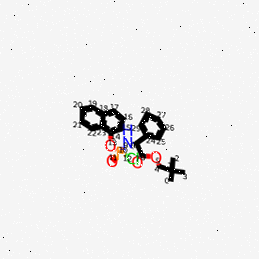 CC(C)(C)COC(=O)[C@H](NP(=O)(Cl)Oc1cccc2ccccc12)c1ccccc1